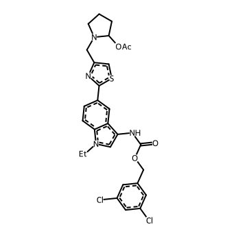 CCn1cc(NC(=O)OCc2cc(Cl)cc(Cl)c2)c2cc(-c3nc(CN4CCCC4OC(C)=O)cs3)ccc21